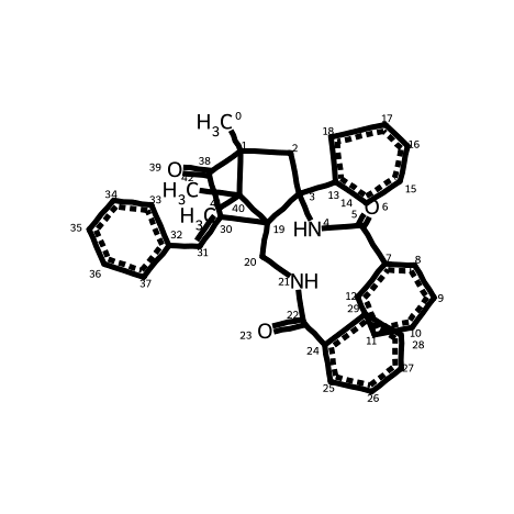 CC12CC(NC(=O)c3ccccc3)(c3ccccc3)C(CNC(=O)c3ccccc3)(C(=Cc3ccccc3)C1=O)C2(C)C